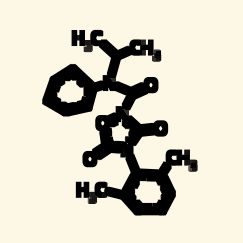 Cc1cccc(C)c1-n1c(=O)on(C(=O)N(c2ccccc2)C(C)C)c1=O